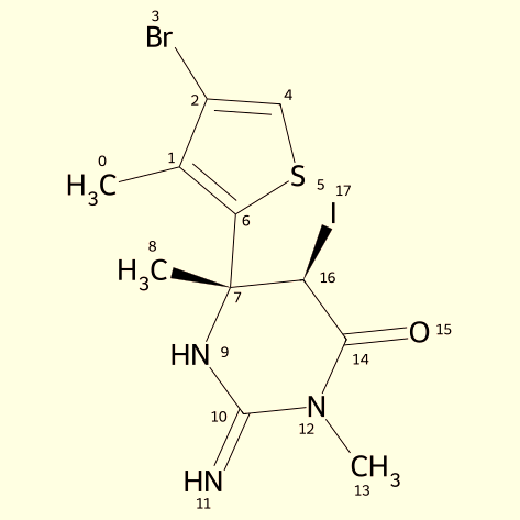 Cc1c(Br)csc1[C@@]1(C)NC(=N)N(C)C(=O)[C@@H]1I